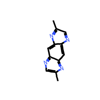 Cc1cnc2cc3nc(C)cnc3cc2n1